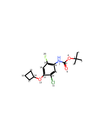 CC(C)(C)OC(=O)Nc1cc(Cl)c(OC2CCC2)cc1F